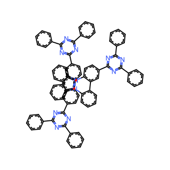 c1ccc(-c2nc(-c3ccccc3)nc(-c3ccc(-n4c5ccccc5c5cc(-c6nc(-c7ccccc7)nc(-c7ccccc7)n6)ccc54)c(-c4ccccc4-n4c5ccccc5c5cc(-c6nc(-c7ccccc7)nc(-c7ccccc7)n6)ccc54)c3)n2)cc1